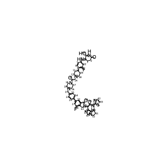 O=C1CC[C@H](Nc2ccc(C3CCN(CC(=O)N4CCN(Cc5ccc(-c6cc(F)c7c(c6)C(=O)N(C(C(=O)Nc6nccs6)c6ncn8c6CCC8)C7)cc5)CC4)CC3)c(F)c2)C(O)N1